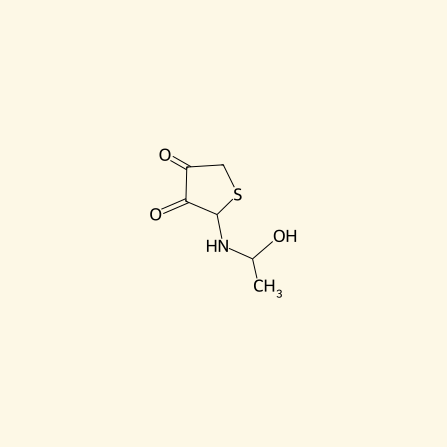 CC(O)NC1SCC(=O)C1=O